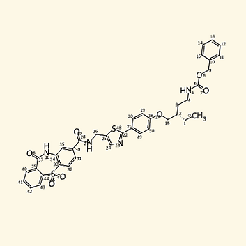 CC[C@@H](CCNC(=O)OCc1ccccc1)COc1ccc(-c2ncc(CNC(=O)c3ccc4c(c3)NC(=O)c3ccccc3S4(=O)=O)s2)cc1